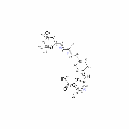 CC(/C=C/[C@@H]1C[C@]2(CO2)CC(C)(C)O1)=C\C[C@H]1CC[C@H](NC(=O)/C=C\[C@H](C)OC(=O)C(C)C)CC1